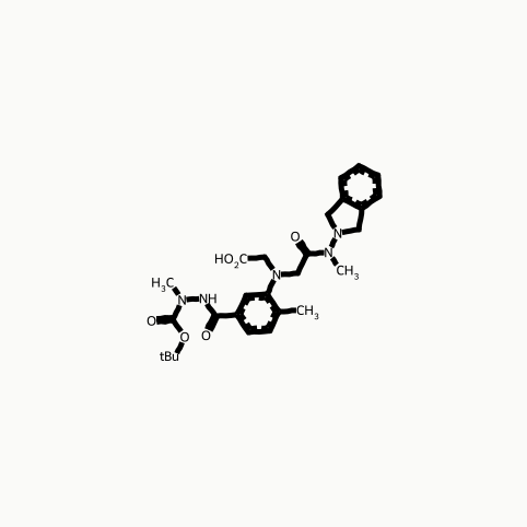 Cc1ccc(C(=O)NN(C)C(=O)OC(C)(C)C)cc1N(CC(=O)O)CC(=O)N(C)N1Cc2ccccc2C1